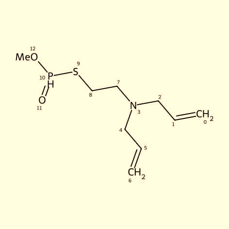 C=CCN(CC=C)CCS[PH](=O)OC